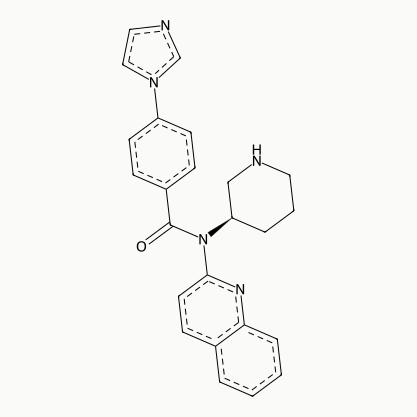 O=C(c1ccc(-n2ccnc2)cc1)N(c1ccc2ccccc2n1)[C@@H]1CCCNC1